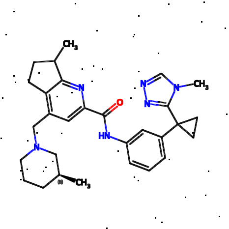 CC1CCc2c(CN3CCC[C@H](C)C3)cc(C(=O)Nc3cccc(C4(c5nncn5C)CC4)c3)nc21